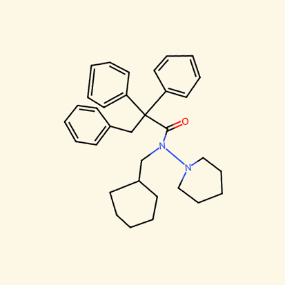 O=C(N(CC1CCCCC1)N1CCCCC1)C(Cc1ccccc1)(c1ccccc1)c1ccccc1